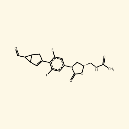 CC(=O)NC[C@H]1CN(c2cc(F)c(C3=CC4C(C=O)C4C3)c(F)c2)C(=O)O1